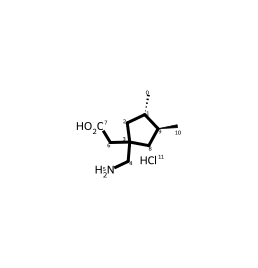 C[C@H]1CC(CN)(CC(=O)O)C[C@@H]1C.Cl